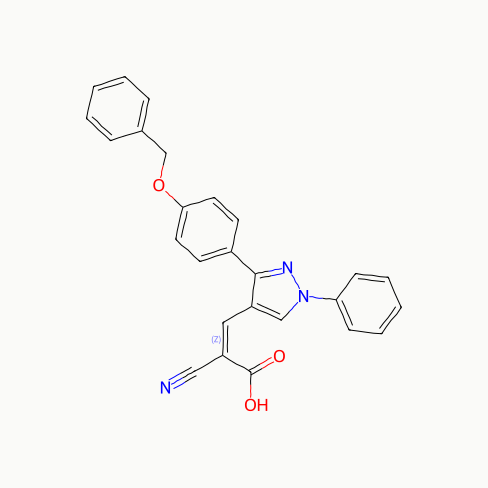 N#C/C(=C/c1cn(-c2ccccc2)nc1-c1ccc(OCc2ccccc2)cc1)C(=O)O